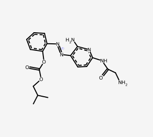 CC(C)COC(=O)Oc1ccccc1/N=N/c1ccc(NC(=O)CN)nc1N